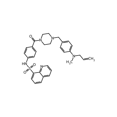 C=CCN(C)c1ccc(CN2CCN(C(=O)c3ccc(NS(=O)(=O)c4cccc5cccnc45)cc3)CC2)cc1